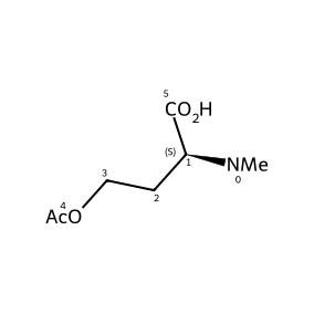 CN[C@@H](CCOC(C)=O)C(=O)O